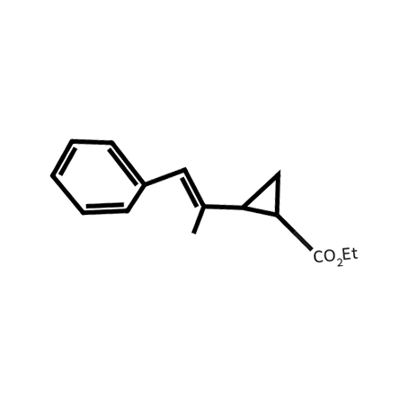 CCOC(=O)C1CC1/C(C)=C/c1ccccc1